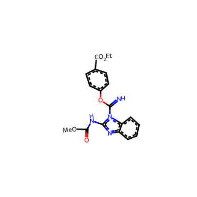 CCOC(=O)c1ccc(OC(=N)n2c(NC(=O)OC)nc3ccccc32)cc1